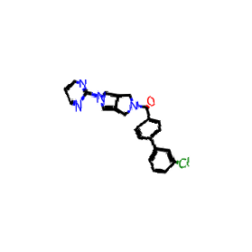 O=C(c1ccc(-c2cccc(Cl)c2)cc1)N1CC2=CN(c3ncccn3)CC2C1